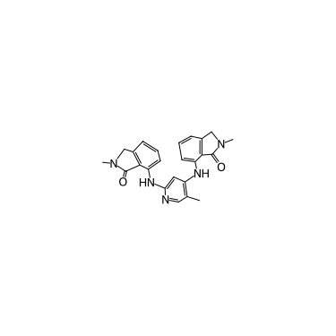 Cc1cnc(Nc2cccc3c2C(=O)N(C)C3)cc1Nc1cccc2c1C(=O)N(C)C2